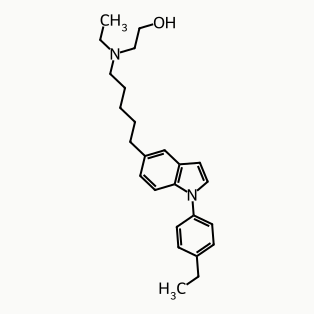 CCc1ccc(-n2ccc3cc(CCCCCN(CC)CCO)ccc32)cc1